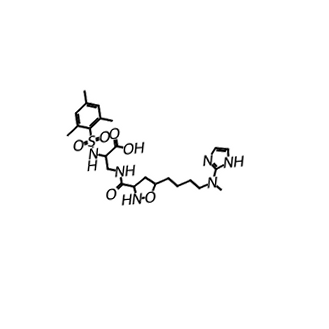 Cc1cc(C)c(S(=O)(=O)NC(CNC(=O)C2CC(CCCCN(C)c3ncc[nH]3)ON2)C(=O)O)c(C)c1